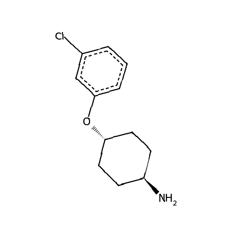 N[C@H]1CC[C@H](Oc2cccc(Cl)c2)CC1